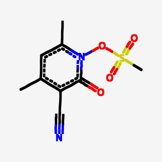 Cc1cc(C)n(OS(C)(=O)=O)c(=O)c1C#N